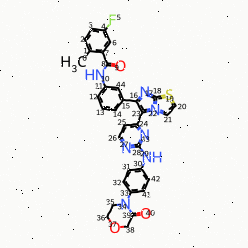 Cc1ccc(F)cc1C(=O)Nc1cccc(-c2nc3sccn3c2-c2ccnc(Nc3ccc(N4CCOCC4=O)cc3)n2)c1